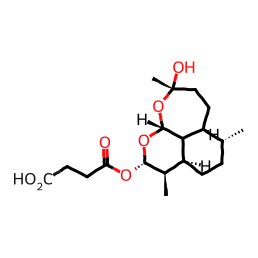 C[C@H]1[C@H](OC(=O)CCC(=O)O)O[C@@H]2O[C@](C)(O)CC[C@@H]3C2[C@H]1CC[C@H]3C